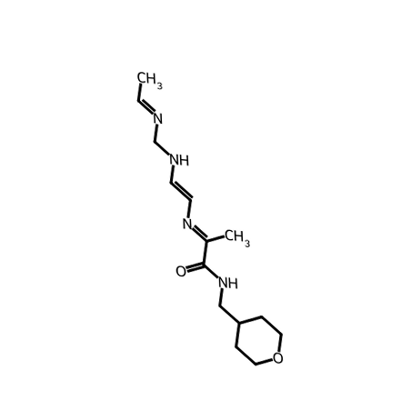 C/C=N/CN/C=C/N=C(\C)C(=O)NCC1CCOCC1